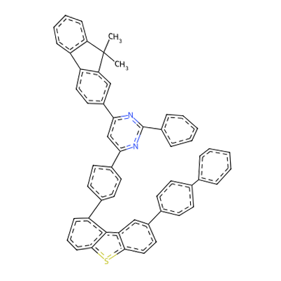 CC1(C)c2ccccc2-c2ccc(-c3cc(-c4ccc(-c5cccc6sc7ccc(-c8ccc(-c9ccccc9)cc8)cc7c56)cc4)nc(-c4ccccc4)n3)cc21